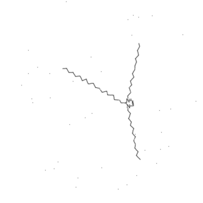 CCCCCCCCCCCCCCCCCCCc1n(CCCCCCCCCCCCCC)cc[n+]1CCCCCCCCCCCCCCC